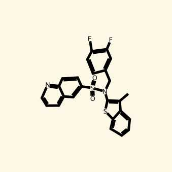 Cc1c(N(Cc2ccc(F)c(F)c2)S(=O)(=O)c2ccc3ncccc3c2)sc2ccccc12